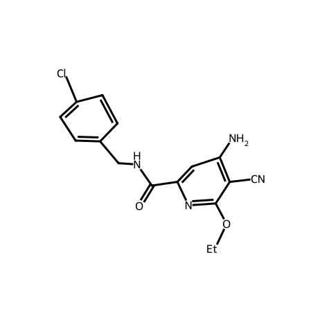 CCOc1nc(C(=O)NCc2ccc(Cl)cc2)cc(N)c1C#N